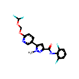 Cn1nc(C(=O)Nc2c(F)cccc2F)cc1-c1ccc(OCOC(F)F)nc1